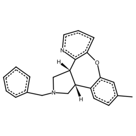 Cc1ccc2c(c1)Oc1cccnc1[C@H]1CN(Cc3ccccc3)C[C@@H]21